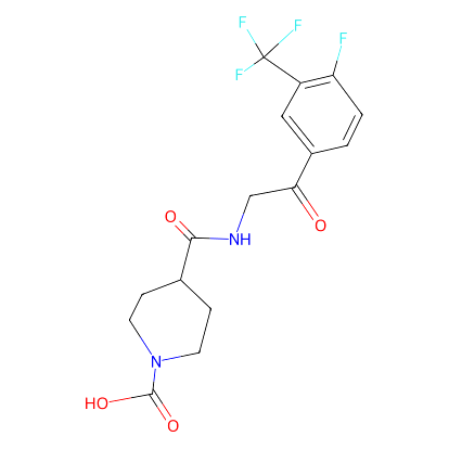 O=C(CNC(=O)C1CCN(C(=O)O)CC1)c1ccc(F)c(C(F)(F)F)c1